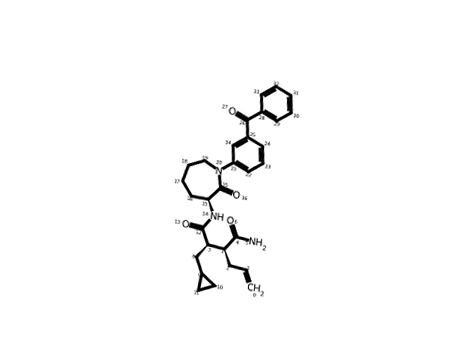 C=CC[C@H](C(N)=O)[C@@H](CC1CC1)C(=O)N[C@H]1CCCCN(c2cccc(C(=O)c3ccccc3)c2)C1=O